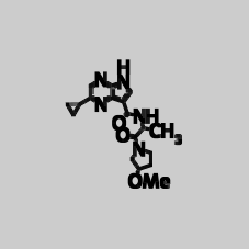 CO[C@@H]1CCN(C(=O)C(C)NC(=O)c2c[nH]c3ncc(C4CC4)nc23)C1